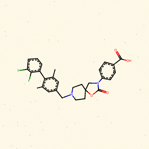 Cc1cc(CN2CCC3(CC2)CN(c2ccc(C(=O)O)cc2)C(=O)O3)cc(C)c1-c1cccc(F)c1F